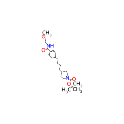 COCCNC(=O)c1ccc(CCCCC2CCN(C(=O)OC(C)(C)C)CC2)cc1